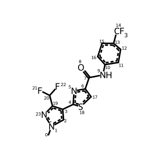 Cn1cc(-c2nc(C(=O)Nc3ccc(C(F)(F)F)cc3)cs2)c(C(F)F)n1